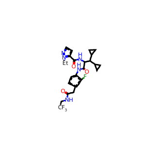 CCn1nccc1C(=O)NC(C(=O)Nc1ccc(CC(=O)NCC(F)(F)F)cc1F)C(C1CC1)C1CC1